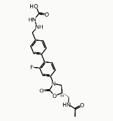 CC(=O)NC[C@H]1CN(c2ccc(-c3ccc(CNNC(=O)O)cc3)c(F)c2)C(=O)O1